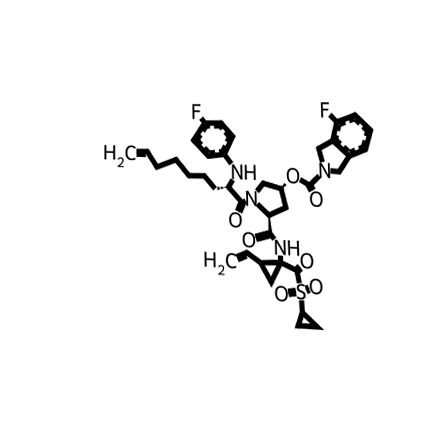 C=CCCCCC[C@H](Nc1ccc(F)cc1)C(=O)N1C[C@H](OC(=O)N2Cc3cccc(F)c3C2)C[C@H]1C(=O)NC1(C(=O)S(=O)(=O)C2CC2)CC1C=C